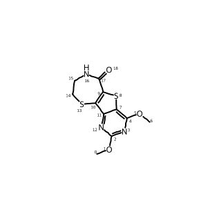 COc1nc(OC)c2sc3c(c2n1)SCCNC3=O